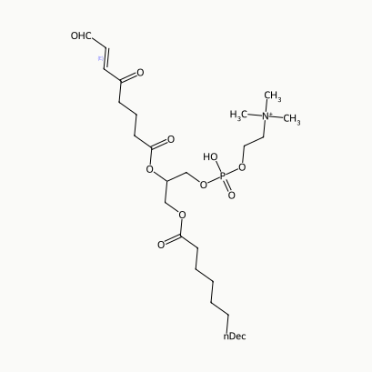 CCCCCCCCCCCCCCCC(=O)OCC(COP(=O)(O)OCC[N+](C)(C)C)OC(=O)CCCC(=O)/C=C/C=O